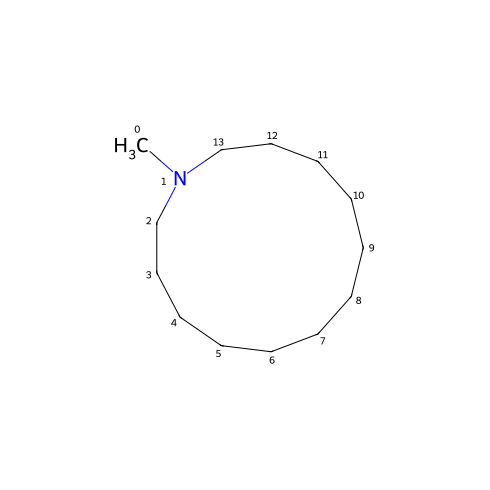 CN1CCCCCCCCCCCC1